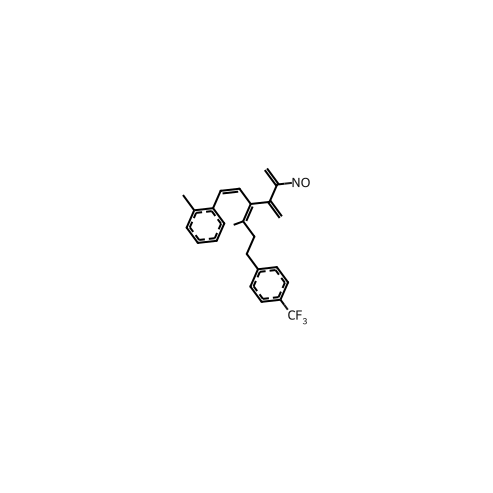 C=C(N=O)C(=C)C(/C=C\c1ccccc1C)=C(/C)CCc1ccc(C(F)(F)F)cc1